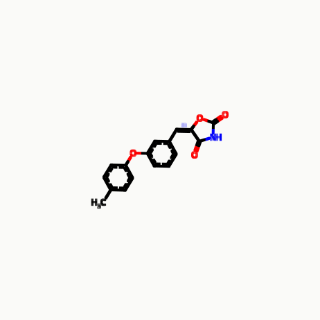 Cc1ccc(Oc2cccc(/C=C3/OC(=O)NC3=O)c2)cc1